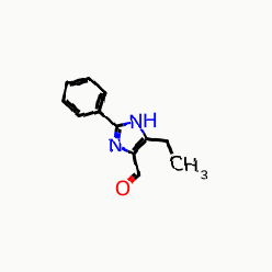 CCc1[nH]c(-c2ccccc2)nc1C=O